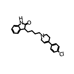 O=C1Nc2ccccc2C1CCCCN1CC=C(c2ccc(Cl)cc2)CC1